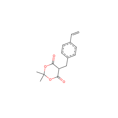 C=Cc1ccc(CC2C(=O)OC(C)(C)OC2=O)cc1